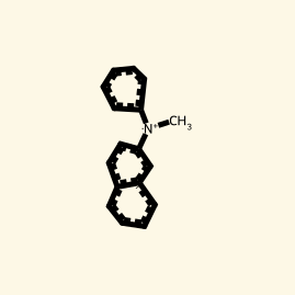 C[N+](c1ccccc1)c1ccc2ccccc2c1